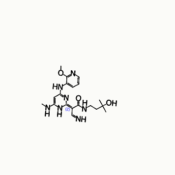 CNC1=CC(Nc2cccnc2OC)=N/C(=C(/C=N)C(=O)NCCC(C)(C)O)N1